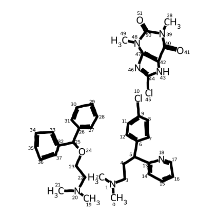 CN(C)CCC(c1ccc(Cl)cc1)c1ccccn1.CN(C)CCOC(c1ccccc1)c1ccccc1.Cn1c(=O)c2[nH]c(Cl)nc2n(C)c1=O